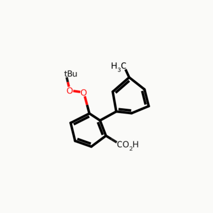 Cc1cccc(-c2c(OOC(C)(C)C)cccc2C(=O)O)c1